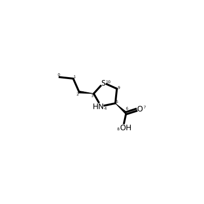 CCC[C@@H]1N[C@H](C(=O)O)CS1